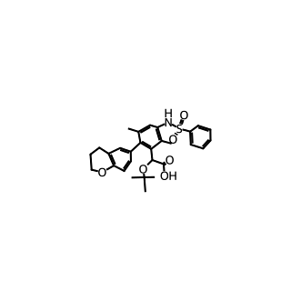 Cc1cc(NS(=O)(=O)c2ccccc2)c(C)c(C(OC(C)(C)C)C(=O)O)c1-c1ccc2c(c1)CCCO2